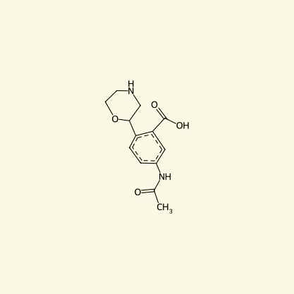 CC(=O)Nc1ccc(C2CNCCO2)c(C(=O)O)c1